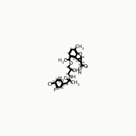 Cc1ccc(C(C)OCC(O)CNC(C)(C)Cc2ccc(Cl)c(F)c2)c2c1OC1C(C(=O)O)C21